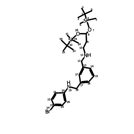 CC(C)(C)[Si](C)(C)OC(CCNCc1cccc(CNc2ccc(Br)cc2)c1)O[Si](C)(C)C(C)(C)C